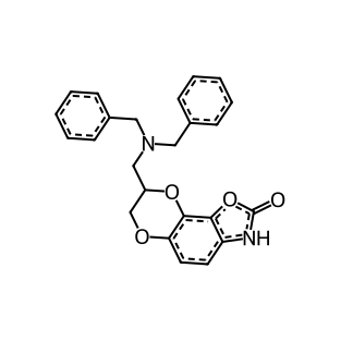 O=c1[nH]c2ccc3c(c2o1)OC(CN(Cc1ccccc1)Cc1ccccc1)CO3